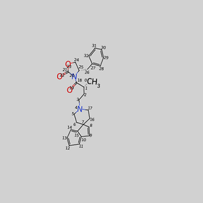 C[C@H](CCN1CCC2(C=Cc3ccccc32)CC1)C(=O)N1C(=O)OC[C@@H]1Cc1ccccc1